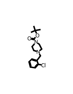 CC(C)(C)OC(=O)N1CCN(Cc2ccccc2Cl)CC1